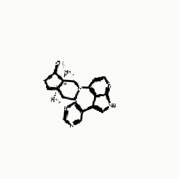 CC1CC[C@]2(N)CCN(c3ccnc4[nH]cc(-c5cncnc5)c34)C[C@]12N